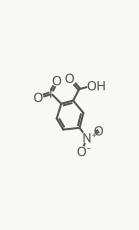 O=C(O)c1cc([N+](=O)[O-])ccc1I(=O)=O